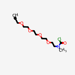 C#CCOCCOCCOCCOCCN(C)C(=O)Cl